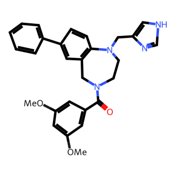 COc1cc(OC)cc(C(=O)N2CCN(Cc3c[nH]cn3)c3ccc(-c4ccccc4)cc3C2)c1